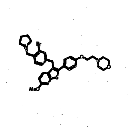 COc1ccc2c(Cc3ccc(CN4CCCC4)c(Br)c3)c(-c3ccc(OCCN4CCOCC4)cc3)sc2c1